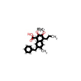 CCCc1c(OC)c(OC)c(C(=O)O)c2cc(Cc3ccccc3)c(C)cc12